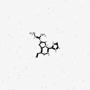 C=CC1=C2C[C@@H](/C(N)=N/N)CN2C(c2nccs2)=NC1